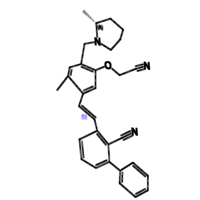 Cc1cc(CN2CCCC[C@H]2C)c(OCC#N)cc1/C=C/c1cccc(-c2ccccc2)c1C#N